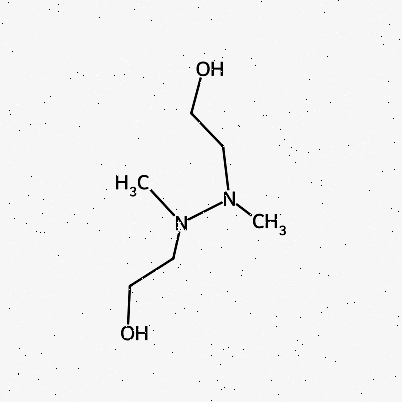 CN(CCO)N(C)CCO